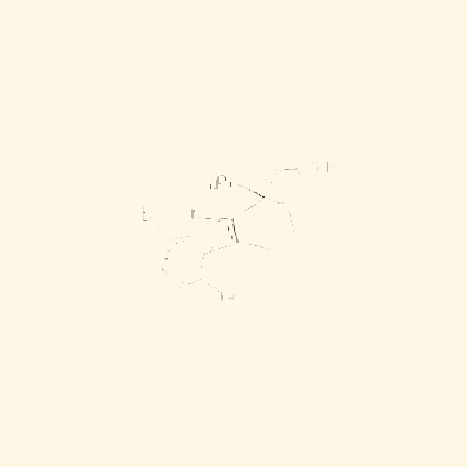 CC(C)C1(CC(=O)O)OCCc2c1[nH]c1c(Br)ccc(Br)c21